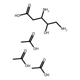 CC(=O)O.CC(=O)O.CC(=O)O.NCC(O)C(N)CC(=O)O